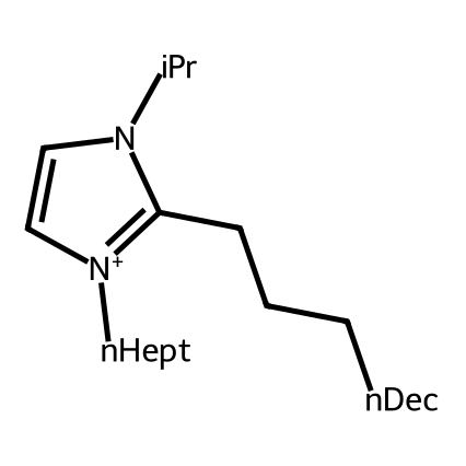 CCCCCCCCCCCCCc1n(C(C)C)cc[n+]1CCCCCCC